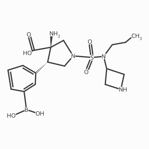 CCCN(C1CNC1)S(=O)(=O)N1C[C@H](c2cccc(B(O)O)c2)[C@](N)(C(=O)O)C1